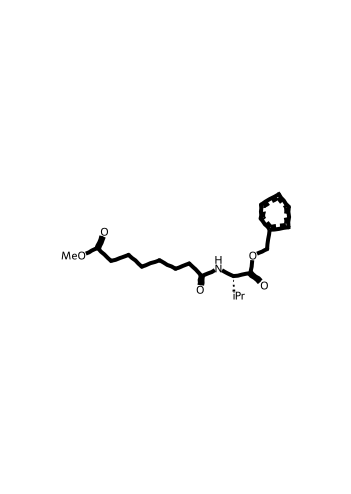 COC(=O)CCCCCCC(=O)N[C@H](C(=O)OCc1ccccc1)C(C)C